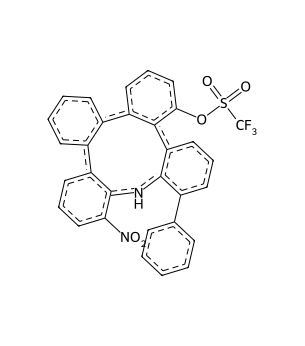 O=[N+]([O-])c1cccc2c1[nH]c1c(-c3ccccc3)cccc1c1c(OS(=O)(=O)C(F)(F)F)cccc1c1ccccc21